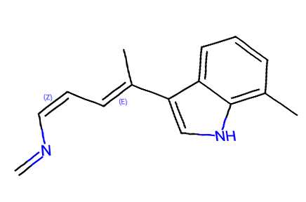 C=N/C=C\C=C(/C)c1c[nH]c2c(C)cccc12